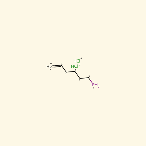 C=CCCCCP.Cl.Cl